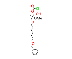 COC(C)(COCCCCCCCOCc1ccccc1)C(O)OC(=O)Cl